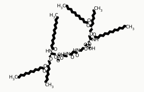 CCCCCCCCCCCCCC(=O)N[C@H](COCC[C@@H](CCCCCCC)OC(=O)CCCCCCCCCCC)COP(=O)(O)OCCNC(=O)CC(=O)NCCOP(=O)(O)OC[C@H](COCC[C@@H](CCCCCCC)OC(=O)CCCCCCCCCCC)NC(=O)CCCCCCCCCCCCC